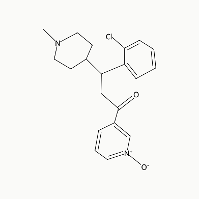 CN1CCC(C(CC(=O)c2ccc[n+]([O-])c2)c2ccccc2Cl)CC1